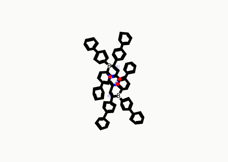 Cc1nc(/C=C(\B(c2ccc(-c3ccccc3)cc2)c2ccc(-c3ccccc3)cc2)c2ccc(-c3ccccc3)cc2)c(C)nc1/C=C(\B(c1ccc(-c2ccccc2)cc1)c1ccc(-c2ccccc2)cc1)c1ccc(-c2ccccc2)cc1